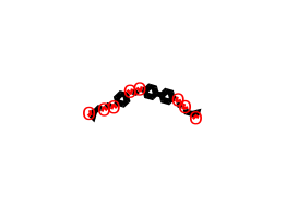 c1cc(OCOc2ccc(-c3ccc(OCOCC4CO4)cc3)cc2)ccc1OCOCC1CO1